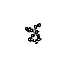 Cc1cc2c3c(c1)N1c4cc5c(cc4C)C(C)(C)CCC5(C)c4cc5c(cc4C(C)(C)C)C4(C)CCCCC4(C)N5c4ccc(c1c4)B3c1cc3c(cc1N2c1ccc2sc4ccccc4c2c1)C(C)(C)c1ccccc1C3(C)C